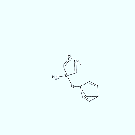 C=C[Si](C)(C=C)OC12C=CC(C=C1)C2